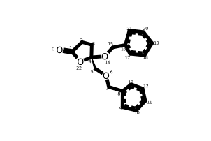 O=C1CC[C@](COCc2ccccc2)(OCc2ccccc2)O1